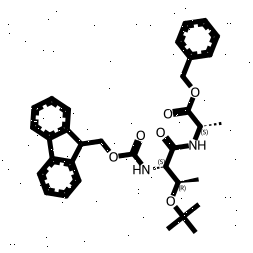 C[C@H](NC(=O)[C@@H](NC(=O)OCC1c2ccccc2-c2ccccc21)[C@@H](C)OC(C)(C)C)C(=O)OCc1ccccc1